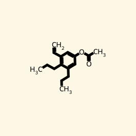 C=Cc1cc(OC(C)=O)cc(CCC)c1CCC